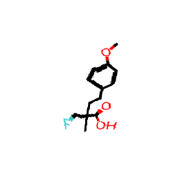 COc1ccc(CCC(C)(CF)C(=O)O)cc1